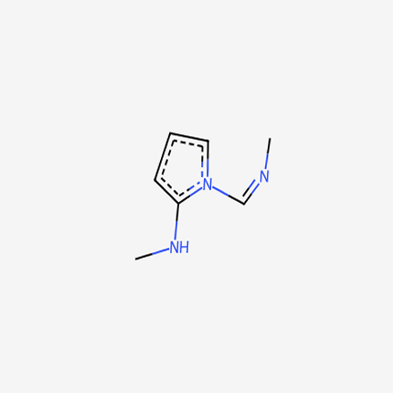 C/N=C\n1cccc1NC